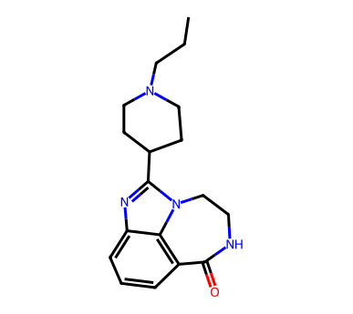 CCCN1CCC(c2nc3cccc4c3n2CCNC4=O)CC1